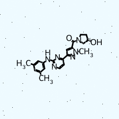 Cc1cc(C)cc(Nc2nccc(-c3cc(C(=O)N4CC[C@@H](O)C4)n(C)n3)n2)c1